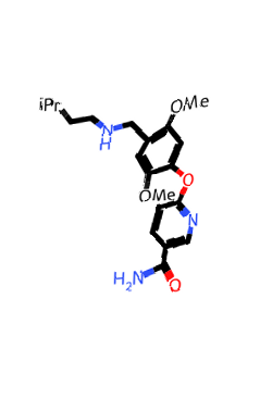 COc1cc(Oc2ccc(C(N)=O)cn2)c(OC)cc1CNCCC(C)C